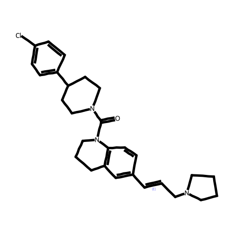 O=C(N1CCC(c2ccc(Cl)cc2)CC1)N1CCCc2cc(/C=C/CN3CCCC3)ccc21